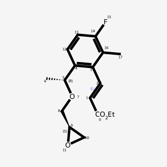 CCOC(=O)/C=C/c1c([C@@H](C)OC[C@H]2CO2)ccc(F)c1C